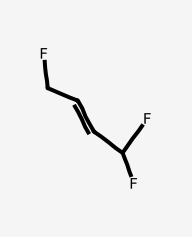 FCC=CC(F)F